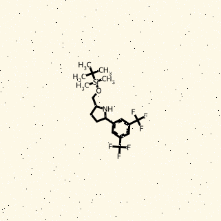 CC(C)(C)[Si](C)(C)OCC1CCC(c2cc(C(F)(F)F)cc(C(F)(F)F)c2)N1